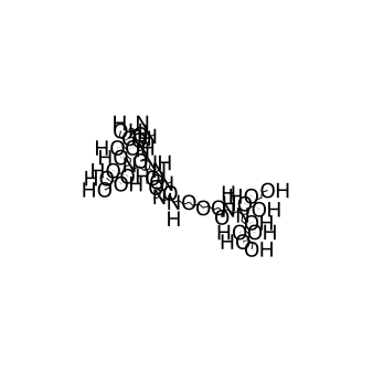 CN(CC(=O)NCCOCCOCCOC(=O)NCCN(C[C@H](O)[C@@H](O)[C@H](O)[C@H](O)CO)C[C@H](O)[C@@H](O)[C@H](O)CCO)C(=O)CN(C)C(=O)CN(C)C(=O)C(CCCN(C[C@H](O)[C@@H](O)[C@H](O)[C@H](O)CO)C[C@H](O)[C@@H](O)[C@H](O)[C@H](O)CO)NC(=O)CN(C)C(=O)CN(C)C(=O)CN